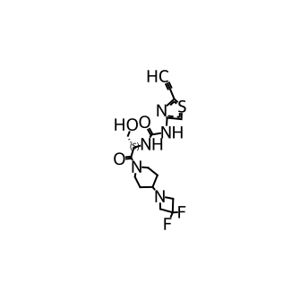 C#Cc1nc(NC(=O)N[C@@H](CO)C(=O)N2CCC(N3CC(F)(F)C3)CC2)cs1